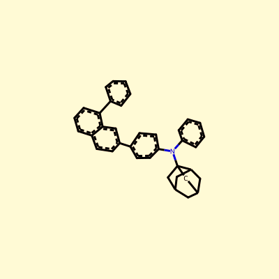 c1ccc(-c2cccc3ccc(-c4ccc(N(c5ccccc5)C56CC7CC(CC5C7)C6)cc4)cc23)cc1